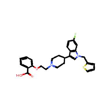 O=C(O)c1ccccc1OCCN1CCC(c2cn(Cc3cccs3)c3cc(F)ccc23)CC1